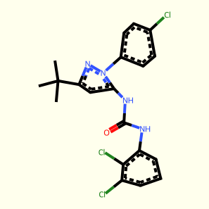 CC(C)(C)c1cc(NC(=O)Nc2cccc(Cl)c2Cl)n(-c2ccc(Cl)cc2)n1